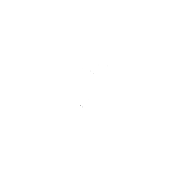 O=C1c2ccccc2C(=O)N1OCc1nc2cc(Cl)ccc2o1